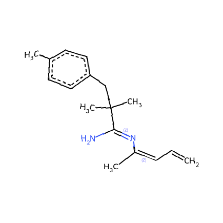 C=C/C=C(C)\N=C(/N)C(C)(C)Cc1ccc(C)cc1